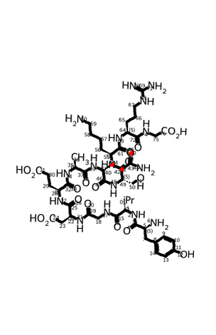 CC(C)[C@H](NC(=O)[C@@H](N)Cc1ccc(O)cc1)C(=O)NCC(=O)N[C@@H](CC(=O)O)C(=O)N[C@@H](CCC(=O)O)C(=O)N[C@@H](C)C(=O)N[C@@H](CCC(N)=O)C(=O)N[C@@H](CO)C(=O)N[C@@H](CCCCN)C(=O)N[C@@H](CCCNC(=N)N)C(=O)NCC(=O)O